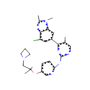 Cc1nc2c(F)cc(-c3nc(Nc4ccc(OC(C)(C)CN5CCC5)cn4)ncc3F)cc2n1C(C)C